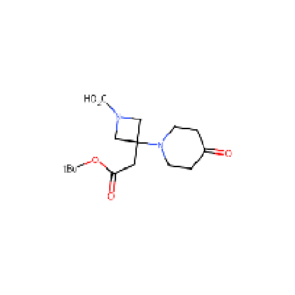 CC(C)(C)OC(=O)CC1(N2CCC(=O)CC2)CN(C(=O)O)C1